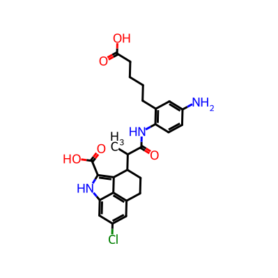 CC(C(=O)Nc1ccc(N)cc1CCCCC(=O)O)C1CCc2cc(Cl)cc3[nH]c(C(=O)O)c1c23